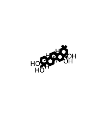 CC1(C)CC[C@]2(CO)[C@@H](O)C[C@]3(C)C(=CC[C@@H]4[C@@]5(C)CC[C@H](O)[C@@](C)(CO)[C@@H]5CC[C@]43C)[C@@H]2C1